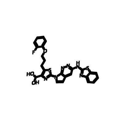 OC(O)c1nc(-n2ccc3cc(Nc4nc5ccccc5s4)nnc32)sc1CCCOc1ccccc1F